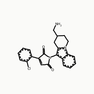 NCC1CCn2c(c(N3C(=O)C=C(c4ccccc4Cl)C3=O)c3ccccc32)C1